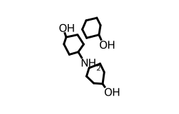 NC1CCC(O)CC1.OC1CCCCC1.OC1CCCCC1